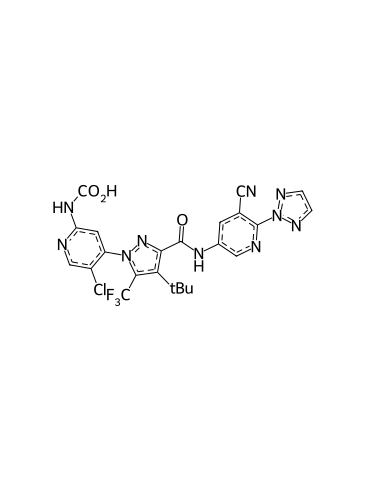 CC(C)(C)c1c(C(=O)Nc2cnc(-n3nccn3)c(C#N)c2)nn(-c2cc(NC(=O)O)ncc2Cl)c1C(F)(F)F